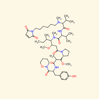 CCC(C)C(C(CC(=O)N1CCC[C@H]1C(OC)C(C)C(=O)NC(Cc1ccc(O)cc1)C(=O)N1CCCCO1)OC)N(C)C(=O)C(NC(=O)C(C(C)C)N(C)CCCCCCN1C(=O)C=CC1=O)C(C)C